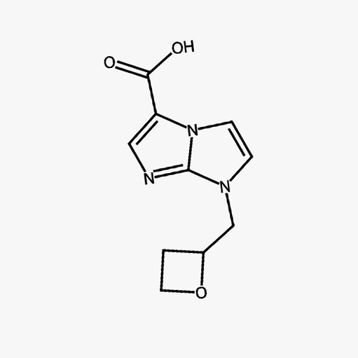 O=C(O)c1cnc2n(CC3CCO3)ccn12